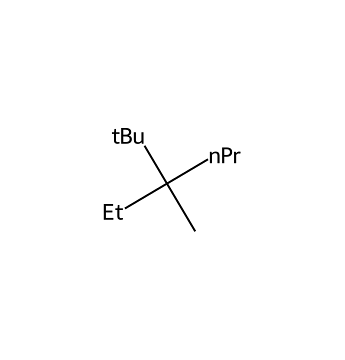 CCCC(C)(CC)C(C)(C)C